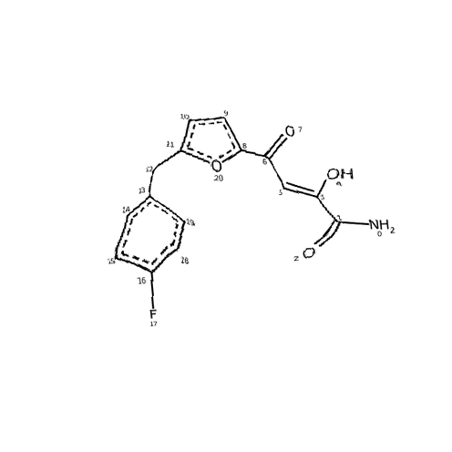 NC(=O)/C(O)=C/C(=O)c1ccc(Cc2ccc(F)cc2)o1